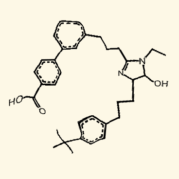 CCN1C(CCCc2cccc(-c3ccc(C(=O)O)cc3)c2)=NC(CCCc2ccc(C(C)(C)C)cc2)C1O